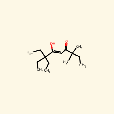 CCC(C)(C)C(=O)/C=C(\O)C(CC)(CC)CC